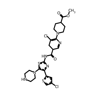 COC(=O)C1CCN(C2=C(Cl)CC(C(=O)Nc3nc(-c4cc(Cl)cs4)c(N4CCNCC4)s3)C=N2)CC1